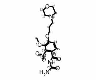 COc1c(OCCCN2CCOCC2)ccc(C(=O)NC(N)=O)c1[N+](=O)[O-]